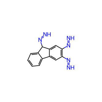 N=Nc1cc2c(cc1N=N)C(N=N)c1ccccc1-2